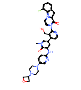 Cn1cc(-c2ccnc(-n3ccn4c(cc5cccc(F)c54)c3=O)c2CO)cc(Nc2ccc(N3CCN(C4COC4)CC3)cn2)c1=O